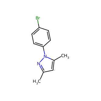 Cc1[c]c(C)n(-c2ccc(Br)cc2)n1